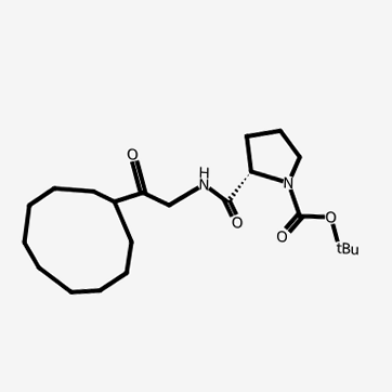 CC(C)(C)OC(=O)N1CCC[C@H]1C(=O)NCC(=O)C1CCCCCCCCC1